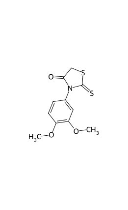 COc1ccc(N2C(=O)CSC2=S)cc1OC